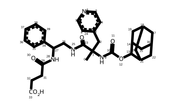 CC(Cc1ccncc1)(NC(=O)OC1C2CC3CC(C2)CC1C3)C(=O)NCC(NC(=O)CCC(=O)O)c1ccccc1